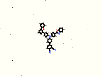 N#Cc1ccc(-c2ccc(N(c3ccc(-c4nc5ccccc5o4)cc3)c3ccc(-c4cccc5c4oc4ccccc45)cc3)cc2)cc1C#N